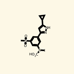 CS(=O)(=O)c1cc(-c2cc(C3CC3)[nH]n2)cc(N(I)C(=O)O)c1